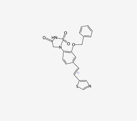 O=C1CN(c2ccc(/C=C/c3cncs3)cc2OCc2ccccc2)S(=O)(=O)N1